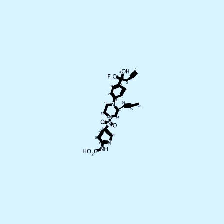 C#CCC(O)(c1ccc(N2CCN(S(=O)(=O)c3ccc(NC(=O)O)nc3)C[C@@H]2C#CC)cc1)C(F)(F)F